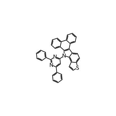 c1ccc(-c2cc(-n3c4c5ccsc5ccc4c4c5ccccc5c5ccccc5c43)nc(-c3ccccc3)n2)cc1